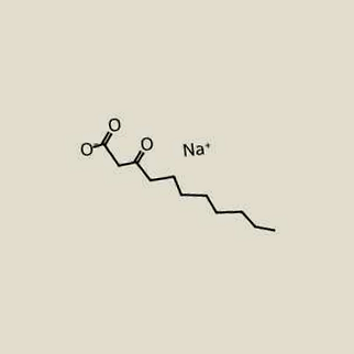 CCCCCCCCC(=O)CC(=O)[O-].[Na+]